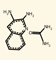 NC(N)=O.Nc1cc2ccccc2nc1N